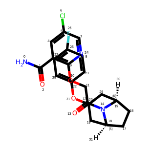 NC(=O)c1cc(Cl)cnc1OCC(=O)N1[C@@H]2CC[C@H]1CC(Oc1ccc(F)cc1)C2